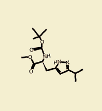 COC(=O)[C@H](Cc1cc(C(C)C)n[nH]1)NC(=O)OC(C)(C)C